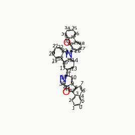 c1ccc2c(c1)ccc1c3cc(-c4ccc5c(c4)c4ccccc4n5-c4cccc5c4oc4ccccc45)ncc3oc21